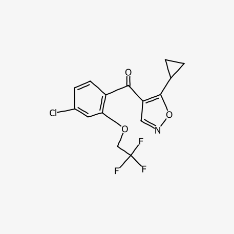 O=C(c1ccc(Cl)cc1OCC(F)(F)F)c1cnoc1C1CC1